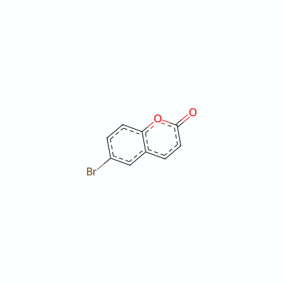 O=c1ccc2cc(Br)ccc2o1